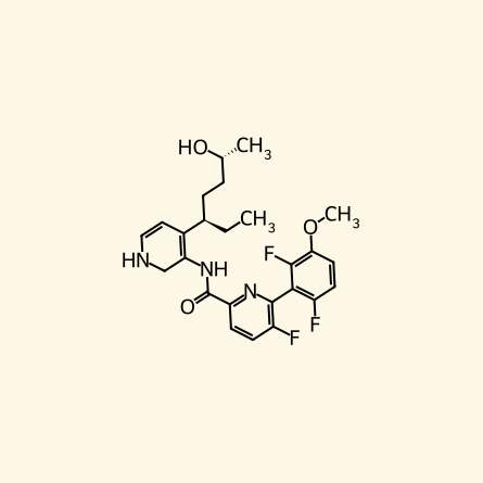 CC[C@H](CC[C@@H](C)O)C1=C(NC(=O)c2ccc(F)c(-c3c(F)ccc(OC)c3F)n2)CNC=C1